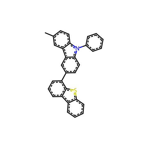 Cc1ccc2c(c1)c1cc(-c3cccc4c3sc3ccccc34)ccc1n2-c1ccccc1